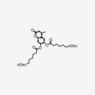 CCCCCCCCCCCCCCCC(=O)Oc1cc2oc(=O)cc(C)c2cc1OC(=O)CCCCCCCCCCCCCCC